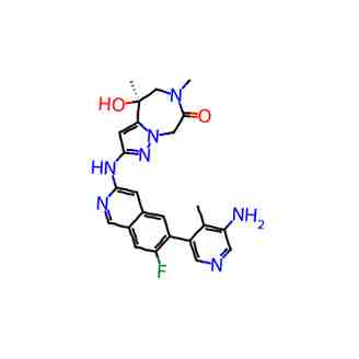 Cc1c(N)cncc1-c1cc2cc(Nc3cc4n(n3)CC(=O)N(C)C[C@]4(C)O)ncc2cc1F